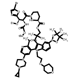 CCO[C@@H](c1ncc(Br)o1)[C@H](NC(=O)OC(C)(C)C)C(=O)N1CCC[C@@H](C(=O)OCC(C)(C)Cc2c(-c3cc(N4CCN(C5CC5)CC4)cnc3[C@H](C)OC)n(CCOC3CCOCC3)c3ccc(B4OC(C)(C)C(C)(C)O4)cc23)N1